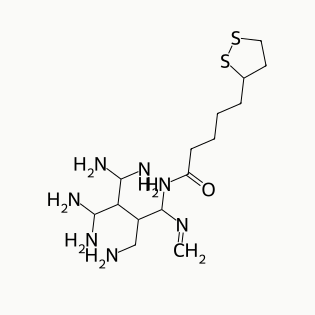 C=NC(NC(=O)CCCCC1CCSS1)C(CN)C(C(N)N)C(N)N